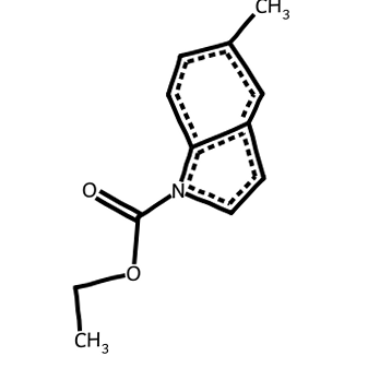 CCOC(=O)n1ccc2cc(C)ccc21